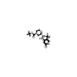 CC(C)(C)OC(=O)N1CCO[C@H](CNc2cc(Cl)ncc2C(F)(F)F)C1